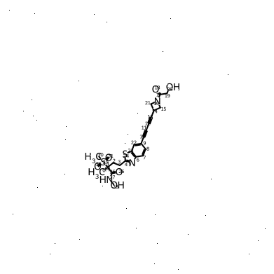 C[C@@](CCc1nc2ccc(C#CC#CC3CN(C(=O)CO)C3)cc2s1)(C(=O)NO)S(C)(=O)=O